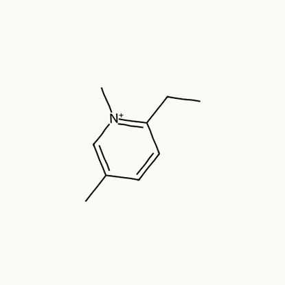 CCc1ccc(C)c[n+]1C